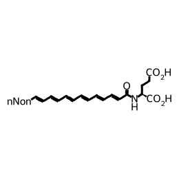 CCCCCCCCC/C=C/C=C/C=C/C=C/C=C/C=C/C(=O)N[C@@H](CCC(=O)O)C(=O)O